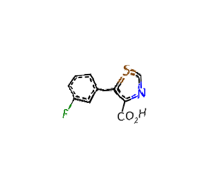 O=C(O)c1ncsc1-c1cccc(F)c1